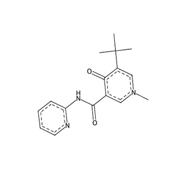 Cn1cc(C(=O)Nc2ccccn2)c(=O)c(C(C)(C)C)c1